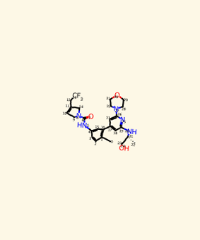 Cc1ccc(NC(=O)N2CC=C(CC(F)(F)F)C2)cc1-c1cc(N[C@H](C)CO)nc(N2CCOCC2)c1